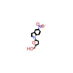 O=[N+]([O-])c1ccc2c(ccn2[C@H]2CC[C@@H](CO)O2)c1